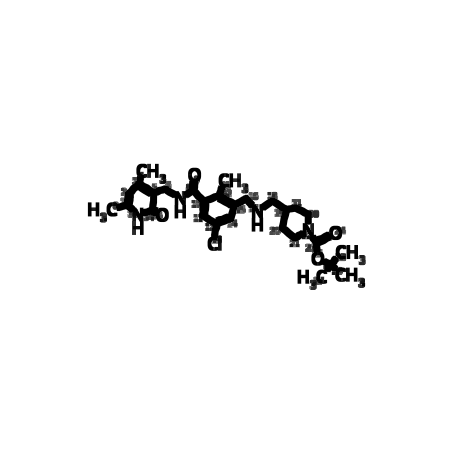 Cc1cc(C)c(CNC(=O)c2cc(Cl)cc(CNCC3CCN(C(=O)OC(C)(C)C)CC3)c2C)c(=O)[nH]1